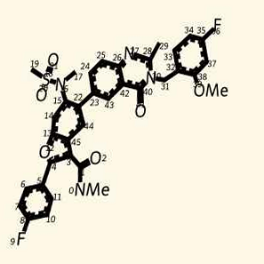 CNC(=O)c1c(-c2ccc(F)cc2)oc2cc(N(C)S(C)(=O)=O)c(-c3ccc4nc(C)n(Cc5ccc(F)cc5OC)c(=O)c4c3)cc12